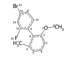 COc1cccc(C)c1-c1ccc(Br)cc1F